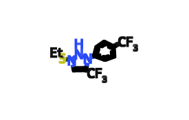 CCSN1C=C(C(F)(F)F)N(c2ccc(C(F)(F)F)cc2)N1